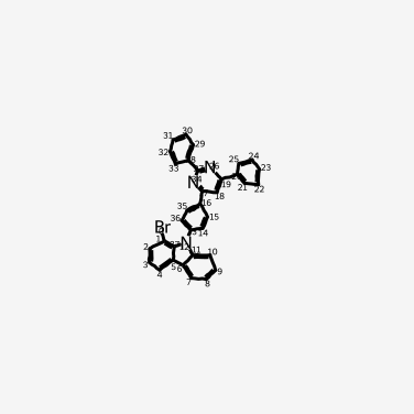 Brc1cccc2c3ccccc3n(-c3ccc(-c4cc(-c5ccccc5)nc(-c5ccccc5)n4)cc3)c12